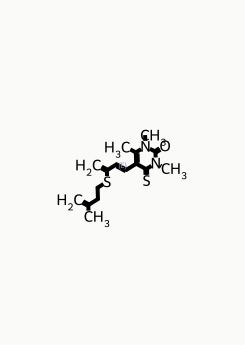 C=C(C)CCSC(=C)/C=C/c1c(C)n(C)c(=O)n(C)c1=S